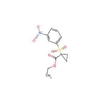 CCOC(=O)C1(S(=O)(=O)c2cccc([N+](=O)[O-])c2)CC1